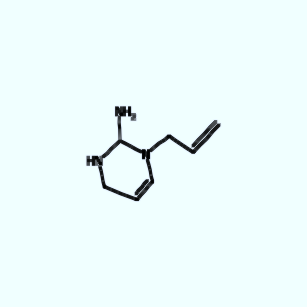 C=CCN1C=CCNC1N